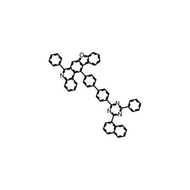 c1ccc(-c2nc(-c3ccc(-c4ccc(-c5c6c(cc7c(-c8ccccc8)nc8ccccc8c57)oc5ccccc56)cc4)cc3)nc(-c3cccc4ccccc34)n2)cc1